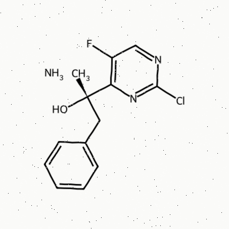 C[C@](O)(Cc1ccccc1)c1nc(Cl)ncc1F.N